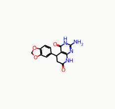 Nc1nc2c(c(=O)[nH]1)C(c1ccc3c(c1)OCO3)CC(=O)N2